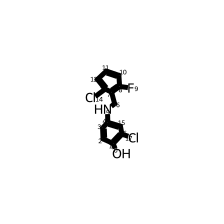 Oc1ccc(NCc2c(F)cccc2Cl)cc1Cl